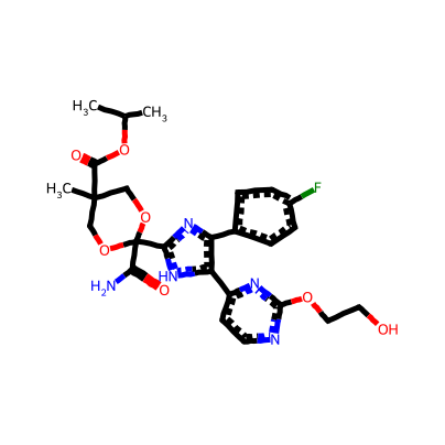 CC(C)OC(=O)C1(C)COC(C(N)=O)(c2nc(-c3ccc(F)cc3)c(-c3ccnc(OCCO)n3)[nH]2)OC1